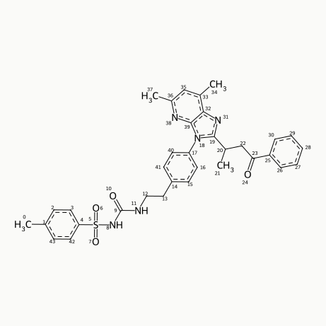 Cc1ccc(S(=O)(=O)NC(=O)NCCc2ccc(-n3c(C(C)CC(=O)c4ccccc4)nc4c(C)cc(C)nc43)cc2)cc1